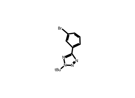 CC(C)(C)n1nnc(-c2cccc(Br)c2)n1